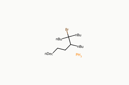 CCCCCCCCCCCCC(CCCC)C(Br)(CCCC)CCCC.P